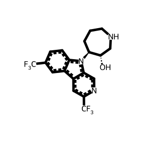 O[C@H]1CNCCC[C@@H]1n1c2ccc(C(F)(F)F)cc2c2cc(C(F)(F)F)ncc21